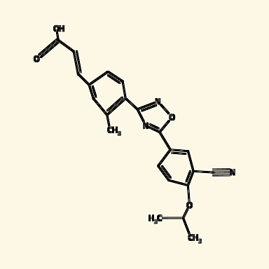 Cc1cc(/C=C/C(=O)O)ccc1-c1noc(-c2ccc(OC(C)C)c(C#N)c2)n1